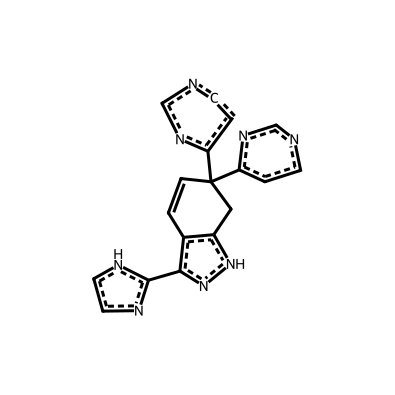 C1=CC(c2ccncn2)(c2ccncn2)Cc2[nH]nc(-c3ncc[nH]3)c21